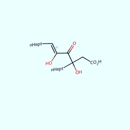 CCCCCCC/C=C(\O)C(=O)C(O)(CCCCCCC)CC(=O)O